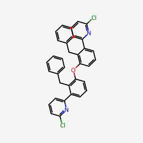 Clc1cccc(-c2cccc(Oc3cccc(-c4cccc(Cl)n4)c3Cc3ccccc3)c2Cc2ccccc2)n1